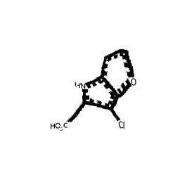 O=C(O)c1[nH]c2ccoc2c1Cl